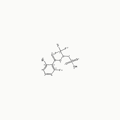 O=C(OC(CS(=O)(=O)O)C(F)(F)F)c1c(F)cccc1Br